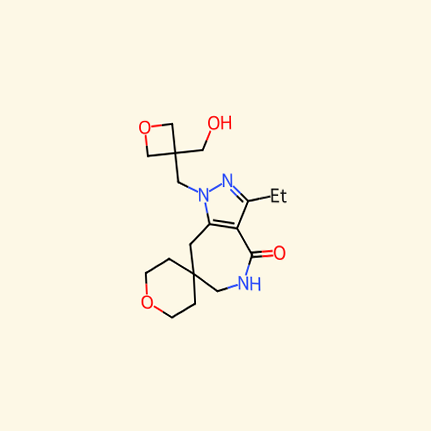 CCc1nn(CC2(CO)COC2)c2c1C(=O)NCC1(CCOCC1)C2